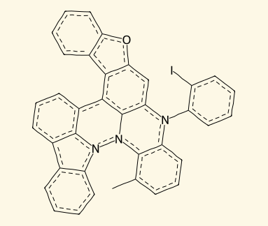 Cc1cccc2c1n1n3c4ccccc4c4cccc(c5c-1c(cc1oc6ccccc6c15)n2-c1ccccc1I)c43